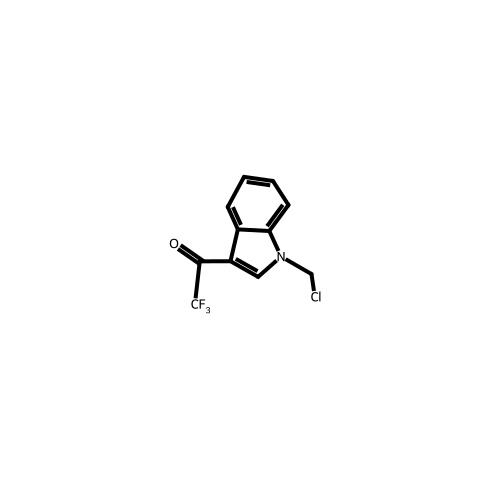 O=C(c1cn(CCl)c2ccccc12)C(F)(F)F